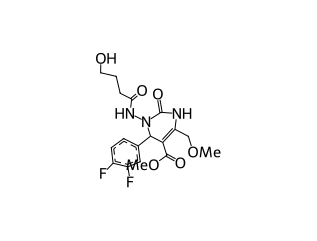 COCC1=C(C(=O)OC)C(c2ccc(F)c(F)c2)N(NC(=O)CCCO)C(=O)N1